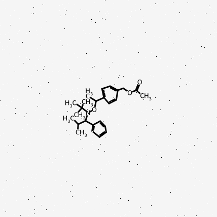 CC(=O)OCc1ccc(C(C)ON(C(c2ccccc2)C(C)C)C(C)(C)C)cc1